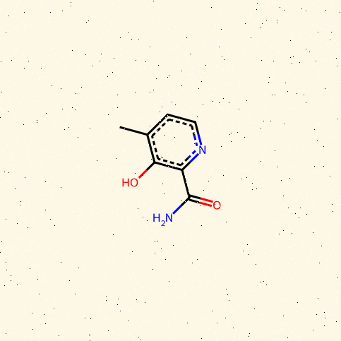 Cc1ccnc(C(N)=O)c1O